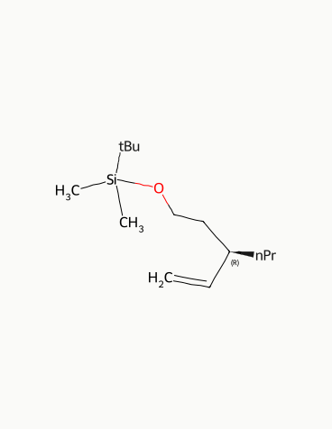 C=C[C@H](C[CH]C)CCO[Si](C)(C)C(C)(C)C